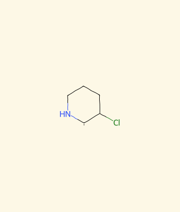 ClC1[CH]NCCC1